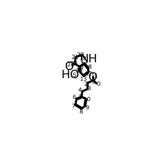 CC(CCCc1ccccc1)Oc1cc(O)c2c(c1)NCCC2=O